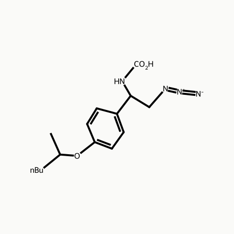 CCCCC(C)Oc1ccc(C(CN=[N+]=[N-])NC(=O)O)cc1